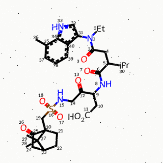 CCN(C(=O)CC(C(=O)NC(CC(=O)O)C(=O)CNS(=O)(=O)CC12CCC(CC1=O)C2(C)C)C(C)C)c1c[nH]c2c(C)cccc12